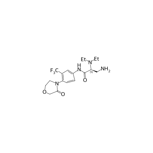 CCN(CC)[C@@H](CN)C(=O)Nc1ccc(N2CCOCC2=O)c(C(F)(F)F)c1